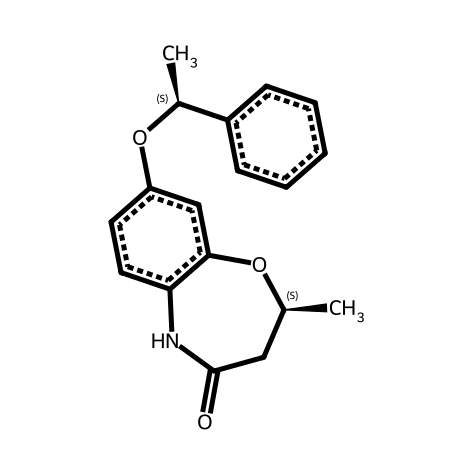 C[C@H](Oc1ccc2c(c1)O[C@@H](C)CC(=O)N2)c1ccccc1